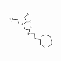 BCC(=O)N(CCN)CC(=O)NCCC1CCCCCCCC1